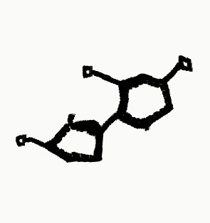 Clc1c[c]c(-c2ccc(Cl)s2)c(Cl)c1